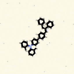 CC1CC=CC=C1N(c1ccc(-c2ccc(/C=C(\Cc3ccccc3)c3ccccc3)cc2)cc1)C1C=CC=CC1C